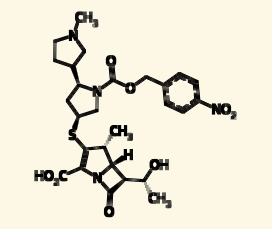 C[C@@H](O)[C@H]1C(=O)N2C(C(=O)O)=C(S[C@H]3C[C@@H](C4CCN(C)C4)N(C(=O)OCc4ccc([N+](=O)[O-])cc4)C3)[C@H](C)[C@H]12